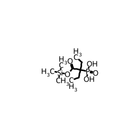 CCC(CC)(C(=O)O[Si](C)(C)C)P(=O)(O)O